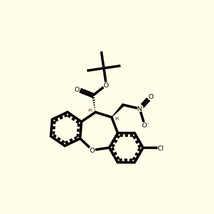 CC(C)(C)OC(=O)[C@H]1c2ccccc2Oc2ccc(Cl)cc2[C@@H]1C[N+](=O)[O-]